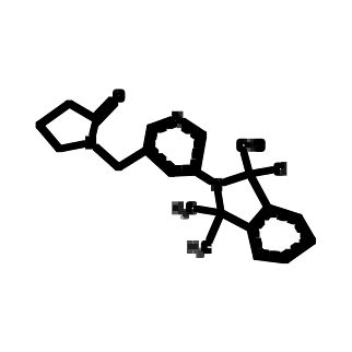 CC1(C)c2ccccc2C(Cl)(C=O)N1c1cncc(CN2CCCC2=O)c1